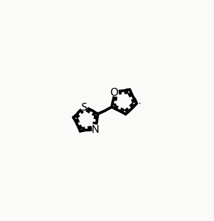 [c]1coc(-c2nccs2)c1